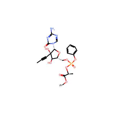 CC#C[C@@]1(O)C(O)[C@@H](COP(=O)(Oc2ccccc2)O[C@@H](C)C(=O)OC(C)C)O[C@H]1n1cnc(N)nc1=O